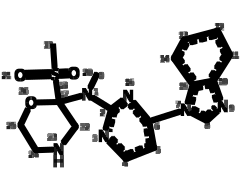 CN(c1nccc(-n2cnc3ccccc32)n1)C1(S(C)(=O)=O)CNCCO1